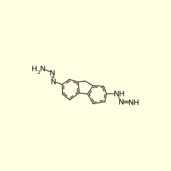 N=NNc1ccc2c(c1)Cc1cc(N=NN)ccc1-2